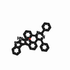 c1ccc(-c2nc(-c3ccccc3)c(-c3cccc4c3sc3[nH]c5sc6ccccc6c5c34)c(-c3ccccc3)n2)cc1